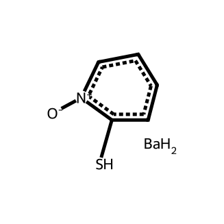 [BaH2].[O-][n+]1ccccc1S